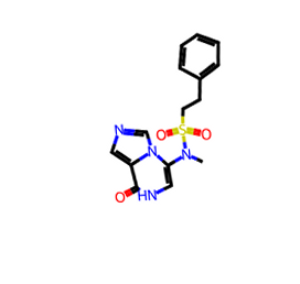 CN(c1c[nH]c(=O)c2cncn12)S(=O)(=O)CCc1ccccc1